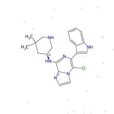 CC1(C)CNC[C@@H](Nc2nc(-c3c[nH]c4ccccc34)c(Cl)n3ccnc23)C1